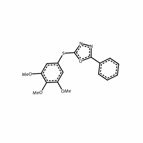 COc1cc(Sc2nnc(-c3ccccc3)o2)cc(OC)c1OC